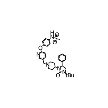 CC(C)(C)N1CC(c2ccccc2)N(C2CCN(Cc3ccc(Oc4ccc(NS(C)(=O)=O)cc4)nc3)CC2)C1=O